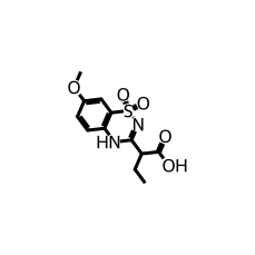 CCC(C(=O)O)C1=NS(=O)(=O)c2cc(OC)ccc2N1